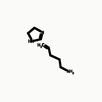 C1=NCCN1.C=CCCCN